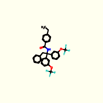 CCc1ccc(C(=O)NC(Cc2ccccc2)(c2cccc(OC(F)(F)F)c2)c2cccc(OC(F)(F)F)c2)cc1